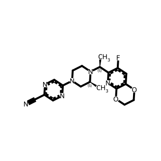 C[C@H]1CN(c2cnc(C#N)cn2)CCN1[C@@H](C)c1nc2c(cc1F)OCCO2